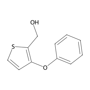 OCc1sccc1Oc1ccccc1